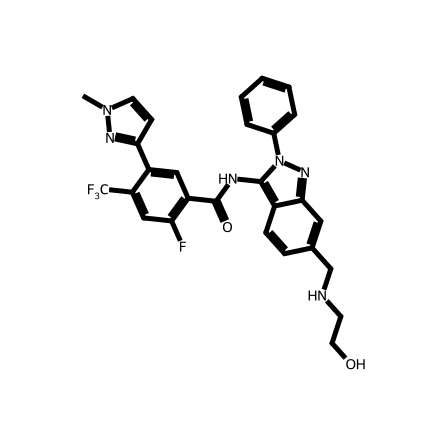 Cn1ccc(-c2cc(C(=O)Nc3c4ccc(CNCCO)cc4nn3-c3ccccc3)c(F)cc2C(F)(F)F)n1